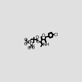 CC1=C(OC(=O)C(C)(CO[N+](=O)[O-])CO[N+](=O)[O-])C2=COC(c3ccc(Cl)cc3)C2=CN1